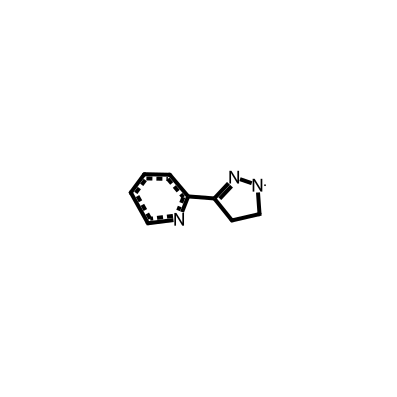 c1ccc(C2=N[N]CC2)nc1